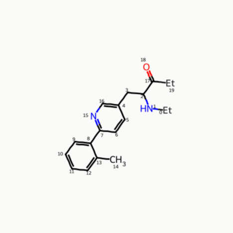 CCNC(Cc1ccc(-c2ccccc2C)nc1)C(=O)CC